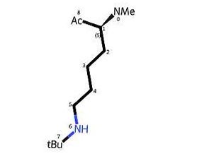 CN[C@@H](CCCCNC(C)(C)C)C(C)=O